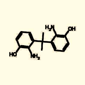 CC(C)(c1cccc(O)c1N)c1cccc(O)c1N